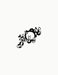 CCn1c(-c2cccnc2[C@H](C)OC)c2c3cc(ccc31)-c1csc(n1)C[C@H](NC(=O)[C@H](C(C)C)N(C)C(=O)N1CCN3CCOCC3C1)C(=O)N1CCC[C@@](O)(N1)C(=O)OCC(C)(C)C2